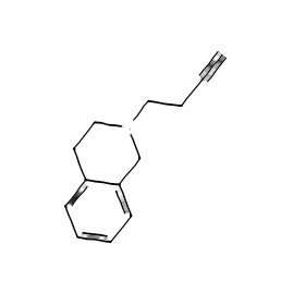 C#CCCN1CCc2ccccc2C1